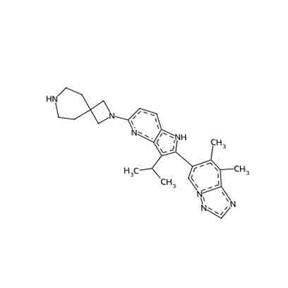 Cc1c(-c2[nH]c3ccc(N4CC5(CCNCC5)C4)nc3c2C(C)C)cn2ncnc2c1C